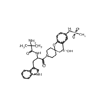 CC(C)(N)C(=O)NC(Cc1c[nH]c2ccccc12)C(=O)N1CCC2(CC1)C[C@@H](O)c1cc(NS(C)(=O)=O)ccc1O2